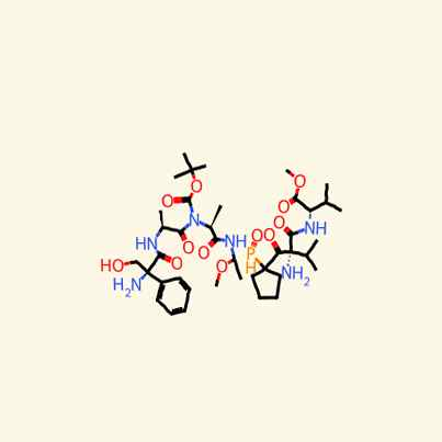 COC(=O)[C@@H](NC(=O)[C@](N)(C(=O)C1([PH](=O)C(C)(NC(=O)[C@H](C)N(C(=O)OC(C)(C)C)C(=O)[C@H](C)NC(=O)[C@@](N)(CO)c2ccccc2)OC)CCCC1)C(C)C)C(C)C